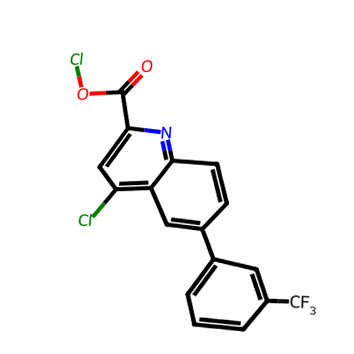 O=C(OCl)c1cc(Cl)c2cc(-c3cccc(C(F)(F)F)c3)ccc2n1